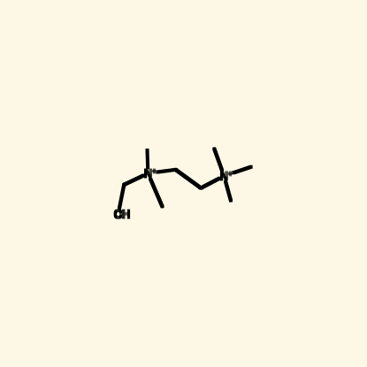 C[N+](C)(C)CC[N+](C)(C)CO